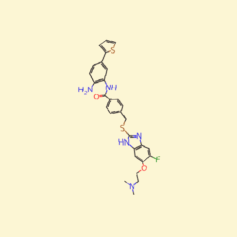 CN(C)CCOc1cc2[nH]c(SCc3ccc(C(=O)Nc4cc(-c5cccs5)ccc4N)cc3)nc2cc1F